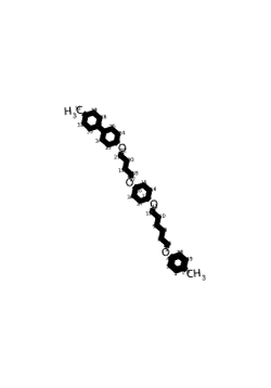 Cc1ccc(OCCCCCCOC2CCC(OCCCCOC3CCC(C4CCC(C)CC4)CC3)CC2)cc1